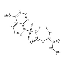 COc1nccc2c(S(=O)(=O)N3CCCN(C(=O)OC(C)(C)C)C[C@H]3C)cccc12